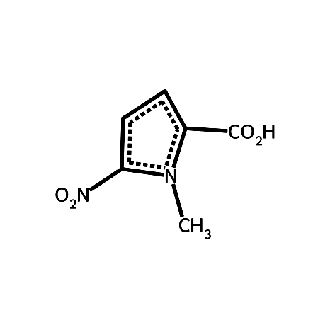 Cn1c(C(=O)O)ccc1[N+](=O)[O-]